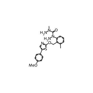 COc1ccc(-c2cnc(OCc3c(C)cccc3N(N)C(=O)N(C)N)s2)cc1